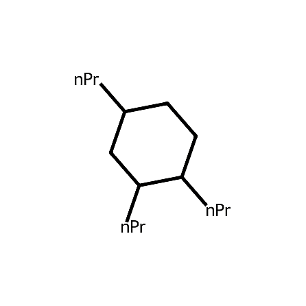 CCCC1CCC(CCC)C(CCC)C1